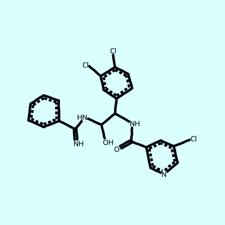 N=C(NC(O)C(NC(=O)c1cncc(Cl)c1)c1ccc(Cl)c(Cl)c1)c1ccccc1